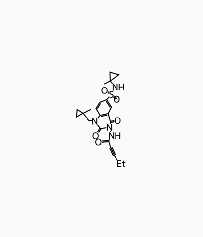 CCC#CC(=O)Nn1c(=O)c2cc(S(=O)(=O)NC3(C)CC3)ccc2n(CC2(C)CC2)c1=O